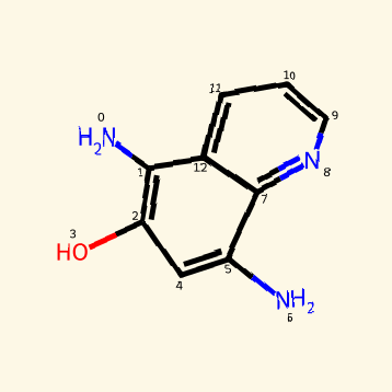 Nc1c(O)cc(N)c2ncccc12